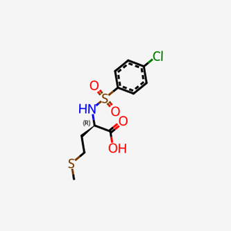 CSCC[C@@H](NS(=O)(=O)c1ccc(Cl)cc1)C(=O)O